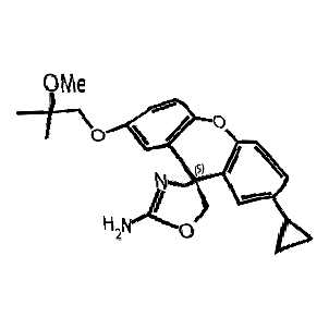 COC(C)(C)COc1ccc2c(c1)[C@]1(COC(N)=N1)c1cc(C3CC3)ccc1O2